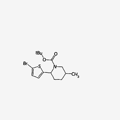 CC1CCC(c2ccc(Br)s2)N(C(=O)OC(C)(C)C)C1